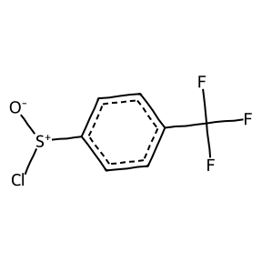 [O-][S+](Cl)c1ccc(C(F)(F)F)cc1